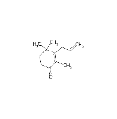 C=C[CH]C1=C(C)C(=O)CCC1(C)C